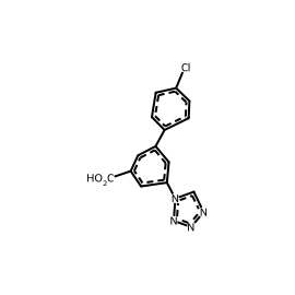 O=C(O)c1cc(-c2ccc(Cl)cc2)cc(-n2cnnn2)c1